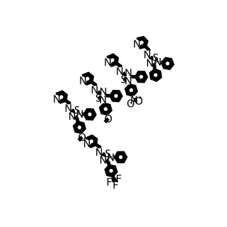 COc1ccc(-c2nc(=NCc3cccnc3)sn2-c2ccccc2)cc1.COc1ccc(-n2sc(=NCc3cccnc3)nc2-c2ccccc2)cc1.FC(F)(F)c1ccc(-c2nc(=NCc3cccnc3)sn2-c2ccccc2)cc1.O=[N+]([O-])c1ccc(-n2sc(=NCc3cccnc3)nc2-c2ccccc2)cc1.c1ccc(-c2nc(=NCc3cccnc3)sn2-c2ccccc2)cc1